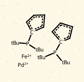 CC(C)(C)P([c-]1cccc1)C(C)(C)C.CC(C)(C)P([c-]1cccc1)C(C)(C)C.[Fe+2].[Pd+2]